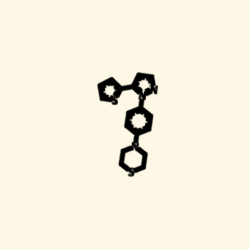 c1csc(-c2ccnn2-c2ccc(N3CCSCC3)cc2)c1